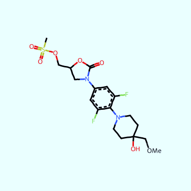 COCC1(O)CCN(c2c(F)cc(N3CC(COS(C)(=O)=O)OC3=O)cc2F)CC1